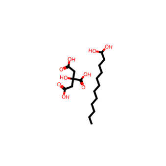 CCCCCCCCCCCC(O)O.O=C(O)CC(O)(CC(=O)O)C(=O)O